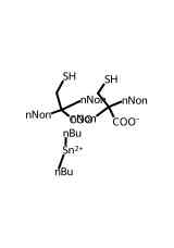 CCCCCCCCCC(CS)(CCCCCCCCC)C(=O)[O-].CCCCCCCCCC(CS)(CCCCCCCCC)C(=O)[O-].CCC[CH2][Sn+2][CH2]CCC